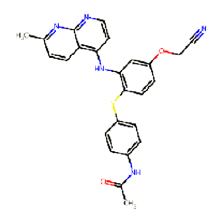 CC(=O)Nc1ccc(Sc2ccc(OCC#N)cc2Nc2ccnc3nc(C)ccc23)cc1